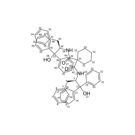 O=C(N[C@H](Cc1ccccc1)C(O)(c1ccccc1)c1ccccc1)C1(C(=O)N[C@H](Cc2ccccc2)C(O)(c2ccccc2)c2ccccc2)CCCCC1